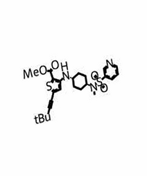 COC(=O)c1sc(C#CC(C)(C)C)cc1N[C@H]1CC[C@H](N(C)S(=O)(=O)c2cccnc2)CC1